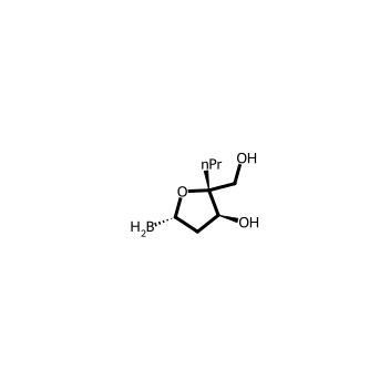 B[C@H]1C[C@H](O)[C@](CO)(CCC)O1